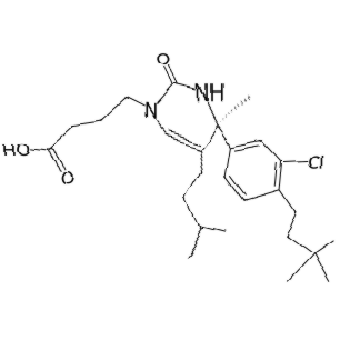 CC(C)CCC1=CN(CCCC(=O)O)C(=O)N[C@@]1(C)c1ccc(CCC(C)(C)C)c(Cl)c1